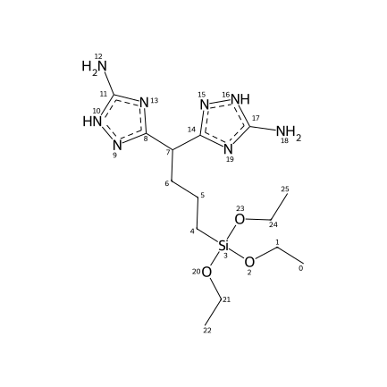 CCO[Si](CCCC(c1n[nH]c(N)n1)c1n[nH]c(N)n1)(OCC)OCC